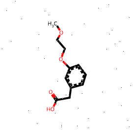 COCCOc1cccc(CC(=O)O)c1